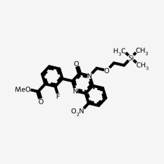 COC(=O)c1cccc(-c2nc3c([N+](=O)[O-])cccc3n(COCC[Si](C)(C)C)c2=O)c1F